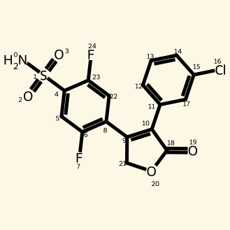 NS(=O)(=O)c1cc(F)c(C2=C(c3cccc(Cl)c3)C(=O)OC2)cc1F